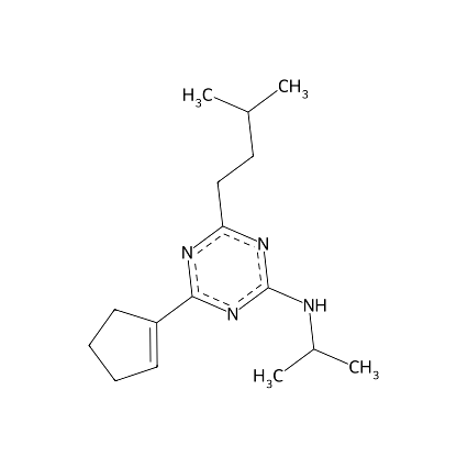 CC(C)CCc1nc(NC(C)C)nc(C2=CCCC2)n1